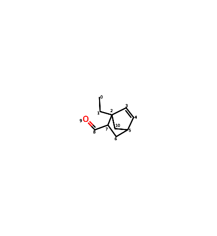 CCC12C=CC(CC1C=O)C2